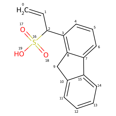 C=CC(c1cccc2c1Cc1ccccc1-2)S(=O)(=O)O